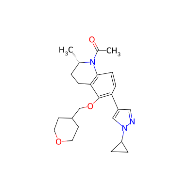 CC(=O)N1c2ccc(-c3cnn(C4CC4)c3)c(OCC3CCOCC3)c2CC[C@@H]1C